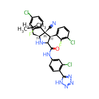 CC(C)(C)C[C@@H]1NC(C(=O)Nc2ccc(-c3nnn[nH]3)c(Cl)c2)[C@H](c2cccc(Cl)c2F)[C@@]1(C#N)c1ccc(Cl)cc1F